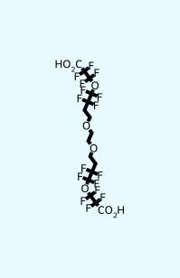 O=C(O)C(F)(F)C(F)(F)OC(F)(F)C(F)(F)CCOCCOCCC(F)(F)C(F)(F)OC(F)(F)C(F)(F)C(=O)O